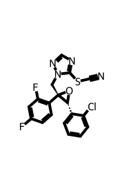 N#CSc1ncnn1C[C@@]1(c2ccc(F)cc2F)O[C@@H]1c1ccccc1Cl